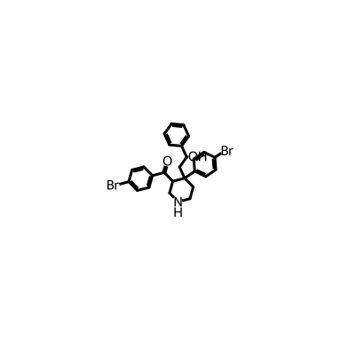 O=C(c1ccc(Br)cc1)C1CNCCC1(CC(O)c1ccccc1)c1ccc(Br)cc1